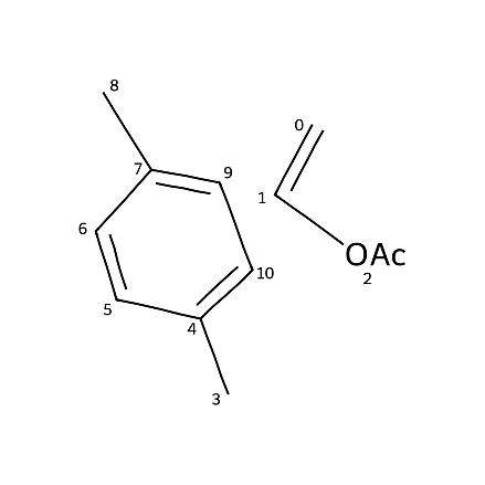 C=COC(C)=O.Cc1ccc(C)cc1